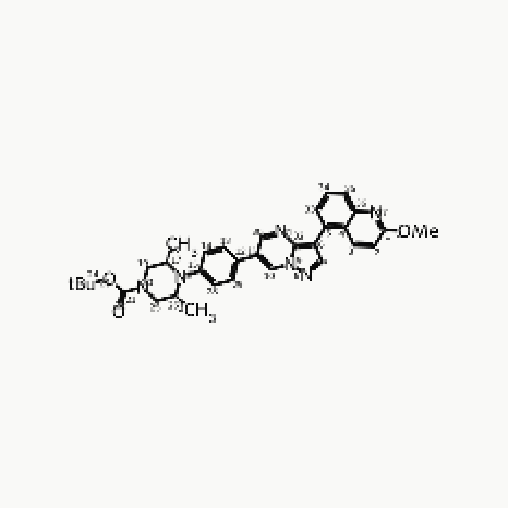 COc1ccc2c(-c3cnn4cc(-c5ccc(N6[C@H](C)CN(C(=O)OC(C)(C)C)C[C@@H]6C)cc5)cnc34)cccc2n1